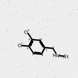 CCNCc1ccc(Cl)c(Cl)c1